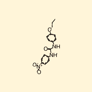 CCCOc1ccc(NC(=O)Nc2ccc([N+](=O)[O-])cc2)cc1